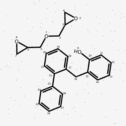 C(OCC1CO1)C1CO1.Oc1ccccc1Cc1ccccc1-c1ccccc1